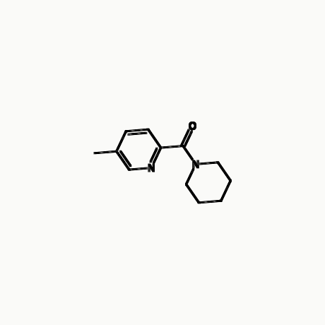 Cc1ccc(C(=O)N2CCCCC2)nc1